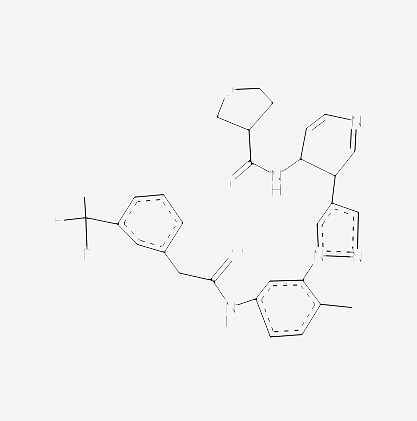 Cc1ccc(NC(=O)Cc2cccc(C(F)(F)F)c2)cc1-n1cc(C2C=NC=CC2NC(=O)C2CCOC2)cn1